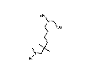 CCCN(CCCCC(C)(C)CN(C)CC)CC(C)(C)C